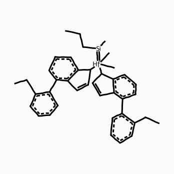 CCC[Si](C)=[Hf]([CH3])([CH3])([CH]1C=Cc2c(-c3ccccc3CC)cccc21)[CH]1C=Cc2c(-c3ccccc3CC)cccc21